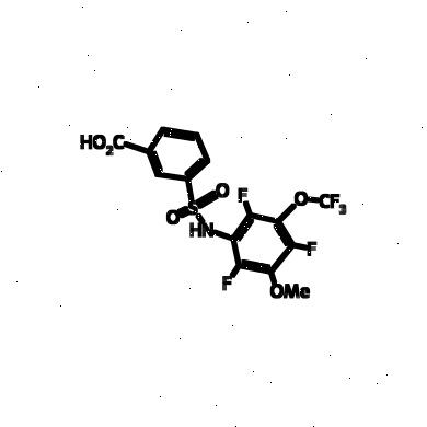 COc1c(F)c(NS(=O)(=O)c2cccc(C(=O)O)c2)c(F)c(OC(F)(F)F)c1F